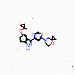 CC1(Oc2ccc3[nH]nc(-c4cc(N5CCOC6(CC6)C5)ncn4)c3c2)CC1